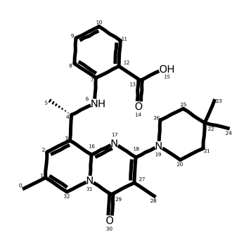 Cc1cc([C@H](C)Nc2ccccc2C(=O)O)c2nc(N3CCC(C)(C)CC3)c(C)c(=O)n2c1